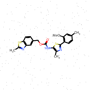 COc1cc(C)ccc1-c1nc(C)c(NC(=O)OCc2ccc3sc(C)nc3c2)s1